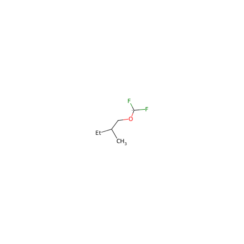 CCC(C)CO[C](F)F